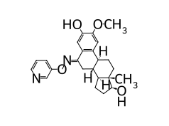 COc1cc2c(cc1O)C(=NOc1cccnc1)C[C@@H]1[C@@H]2CC[C@]2(C)[C@@H](O)CC[C@@H]12